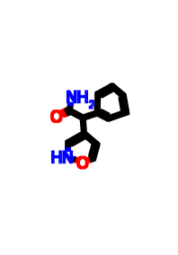 NC(=O)C(C1=CNOC=C1)c1ccccc1